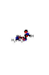 C#Cc1nn(C2CCCCO2)c2ccc(-c3cnn(C)c3COCCOc3c(I)c(C)nn3C)cc12